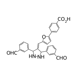 O=Cc1cccc(C2NNC(c3cccc(C=O)c3)C2=Cc2ccc(-c3ccc(C(=O)O)cc3)o2)c1